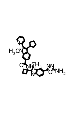 Cn1c(C2(NC(=O)c3ccc4c(C5CCCC5)c(-c5ccccn5)n(C)c4c3)CCC2)nc2ccc(-c3nnc(N)o3)cc21